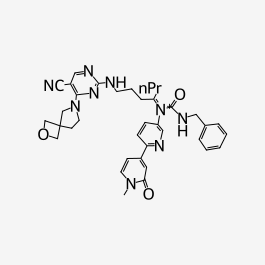 CCC/C(CCCNc1ncc(C#N)c(N2CCC3(COC3)C2)n1)=[N+](\C(=O)NCc1ccccc1)c1ccc(-c2ccn(C)c(=O)c2)nc1